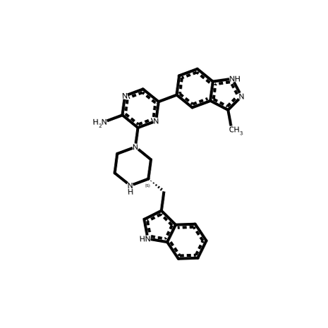 Cc1n[nH]c2ccc(-c3cnc(N)c(N4CCN[C@@H](Cc5c[nH]c6ccccc56)C4)n3)cc12